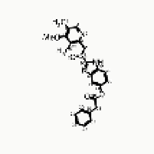 COc1c(C)cnc(C[S+]([O-])c2nc3cc(OC(=O)Cc4ccccc4)ccc3[nH]2)c1C